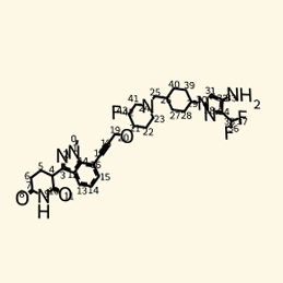 Cn1nc(C2CCC(=O)NC2=O)c2cccc(C#CCO[C@H]3CCN(CC4CCC(n5cc(N)c(C(F)F)n5)CC4)C[C@H]3F)c21